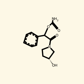 NC(=O)OC(C(=O)N1CC[C@@H](O)C1)c1ccccc1